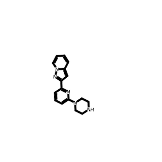 c1cc(-c2cc3ccccn3n2)nc(N2CCNCC2)c1